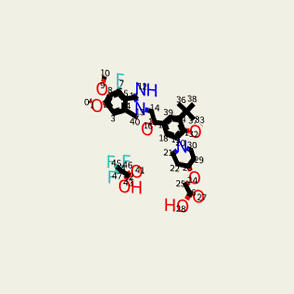 COc1cc2c(c(F)c1OC)C(=N)N(CC(=O)c1cc(N3CCC(OCC(=O)O)CC3)c(OC)c(C(C)(C)C)c1)C2.O=C(O)C(F)(F)F